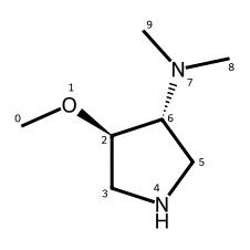 CO[C@@H]1CNC[C@H]1N(C)C